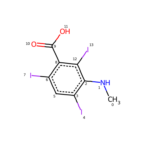 CNc1c(I)cc(I)c(C(=O)O)c1I